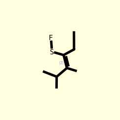 CC/C(SF)=C(\C)C(C)C